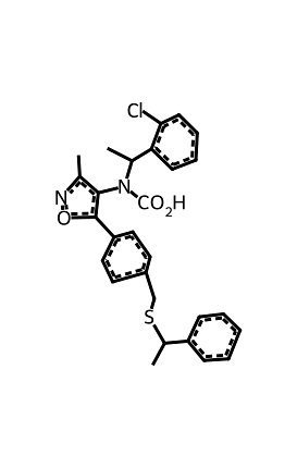 Cc1noc(-c2ccc(CSC(C)c3ccccc3)cc2)c1N(C(=O)O)C(C)c1ccccc1Cl